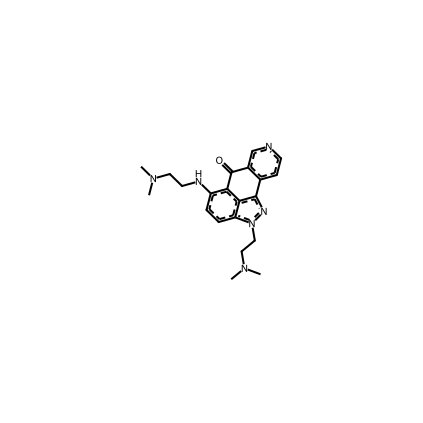 CN(C)CCNc1ccc2c3c(nn2CCN(C)C)-c2ccncc2C(=O)c13